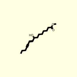 CCCC#CC=CC(O)CCCCCCC(=O)OC